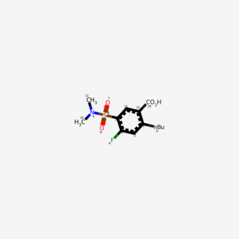 CCCCc1cc(F)c(S(=O)(=O)N(C)C)cc1C(=O)O